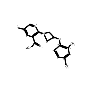 COC(=O)c1cc(Cl)cnc1N1CC(Nc2ccc(C(F)(F)F)cc2C)C1